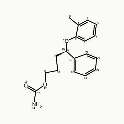 Cc1ccccc1O[C@H](CCCOC(N)=O)c1ccccc1